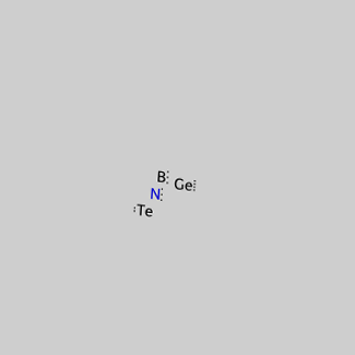 [B].[Ge].[N].[Te]